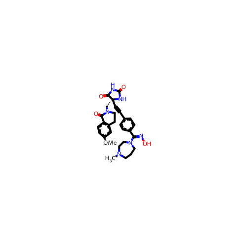 COc1ccc2c(c1)CCN(C[C@@]1(C#Cc3ccc(C(=NO)N4CCCN(C)CC4)cc3)NC(=O)NC1=O)C2=O